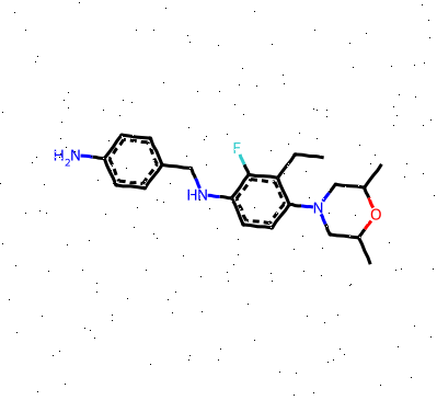 CCc1c(N2CC(C)OC(C)C2)ccc(NCc2ccc(N)cc2)c1F